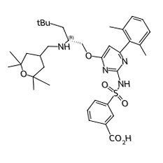 Cc1cccc(C)c1-c1cc(OC[C@@H](CC(C)(C)C)NCC2CC(C)(C)OC(C)(C)C2)nc(NS(=O)(=O)c2cccc(C(=O)O)c2)n1